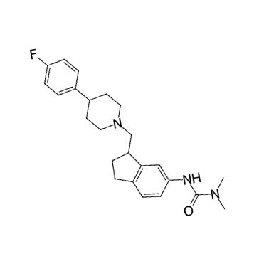 CN(C)C(=O)Nc1ccc2c(c1)C(CN1CCC(c3ccc(F)cc3)CC1)CC2